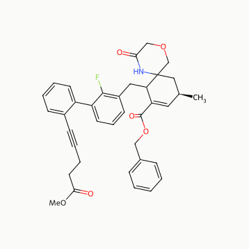 COC(=O)CCC#Cc1ccccc1-c1cccc(CC2C(C(=O)OCc3ccccc3)=C[C@H](C)CC23COCC(=O)N3)c1F